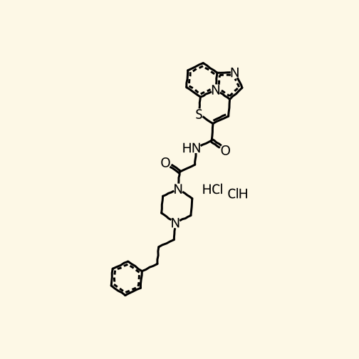 Cl.Cl.O=C(NCC(=O)N1CCN(CCCc2ccccc2)CC1)C1=Cc2cnc3cccc(n23)S1